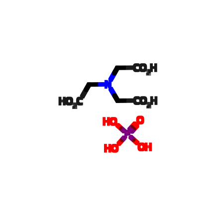 O=C(O)CN(CC(=O)O)CC(=O)O.O=P(O)(O)O